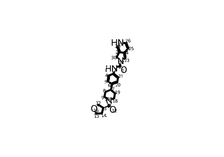 O=C(Nc1ccc(C2CCN(C(=O)[C@H]3CCOC3)CC2)cc1)N1C=C2C=CNC=C2C1